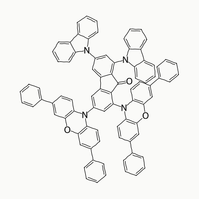 O=C1c2c(cc(N3c4ccc(-c5ccccc5)cc4Oc4cc(-c5ccccc5)ccc43)cc2N2c3ccc(-c4ccccc4)cc3Oc3cc(-c4ccccc4)ccc32)-c2cc(-n3c4ccccc4c4ccccc43)cc(-n3c4ccccc4c4ccccc43)c21